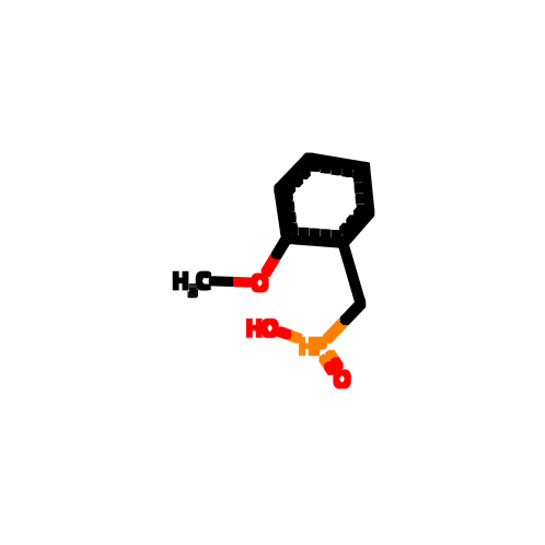 COc1ccccc1C[PH](=O)O